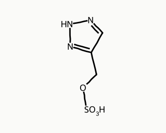 O=S(=O)(O)OCc1cn[nH]n1